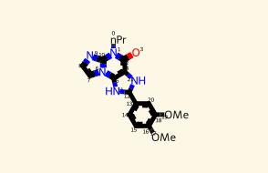 CCCn1c(=O)c2c(n3ccnc13)NC(c1ccc(OC)c(OC)c1)N2